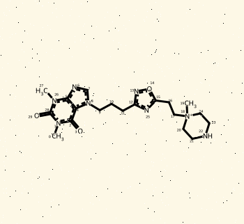 Cn1c(=O)c2c(ncn2CCCc2noc(CC[N+]3(C)CCNCC3)n2)n(C)c1=O